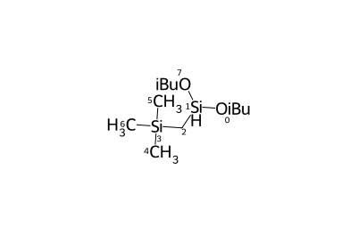 CC(C)CO[SiH](C[Si](C)(C)C)OCC(C)C